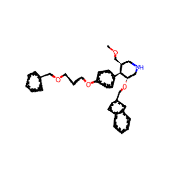 COC[C@H]1CNC[C@H](OCc2ccc3ccccc3c2)[C@H]1c1ccc(OCCCOCc2ccccc2)cc1